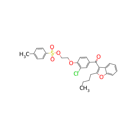 CCCCc1oc2ccccc2c1C(=O)c1ccc(OCCOS(=O)(=O)c2ccc(C)cc2)c(Cl)c1